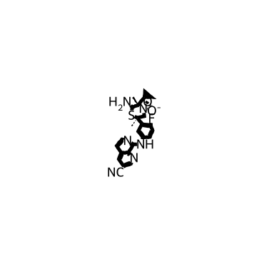 C[C@]1(C2CC2)C(N)S[C@](C)(c2cc(Nc3nccc4cc(C#N)cnc34)ccc2F)C[N+]1([O-])[O-]